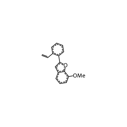 C=Cc1ccccc1-c1cc2cccc(OC)c2o1